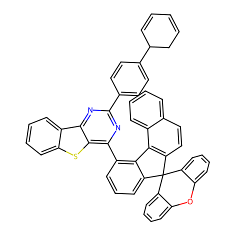 C1=CCC(c2ccc(-c3nc(-c4cccc5c4-c4c(ccc6ccccc46)C54c5ccccc5Oc5ccccc54)c4sc5ccccc5c4n3)cc2)C=C1